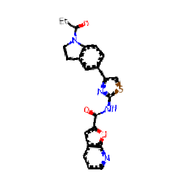 CCC(=O)N1CCc2cc(-c3csc(NC(=O)c4cc5cccnc5o4)n3)ccc21